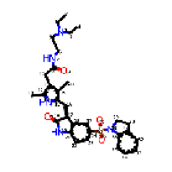 CCN(CC)CCNC(=O)Cc1c(C)[nH]c(/C=C2\C(=O)Nc3ccc(S(=O)(=O)N4CCc5ccccc54)cc32)c1C